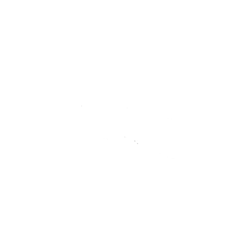 CCCCOc1cc(OC)c(NC(=O)c2ccc(Oc3cc4c(cc3C)CCC4(C)C)o2)c(OC)c1